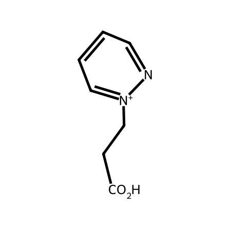 O=C(O)CC[n+]1ccccn1